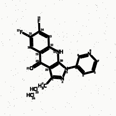 Cc1nn(-c2cccnc2)c2[nH]c3cc(F)c(F)cc3c(=O)c12.Cl.Cl